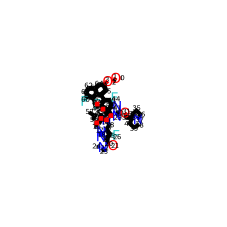 COCOc1cc(-c2c(F)cc3c(N4CCCn5nc(C(=O)N(C)C)c(F)c5C4)nc(OCC45CCCN4CCC5)nc3c2F)c2c(C#C[Si](C(C)C)(C(C)C)C(C)C)c(F)ccc2c1